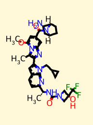 COc1cc(C(=O)N2[C@H]3CC[C@@H]2[C@H](N)C3)cc2nc(-c3cc4ccc([C@@H](C)NC(=O)N5CC(O)(C(F)(F)F)C5)nc4n3CC3CC3)c(C)n12